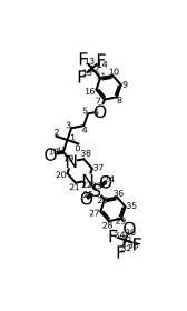 CC(C)(CCCOc1cccc(C(F)(F)F)c1)C(=O)N1CCN(S(=O)(=O)c2ccc(OC(F)(F)F)cc2)CC1